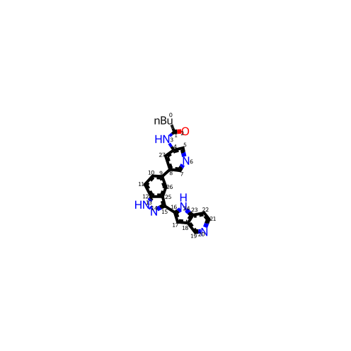 CCCCC(=O)Nc1cncc(-c2ccc3[nH]nc(-c4cc5cnccc5[nH]4)c3c2)c1